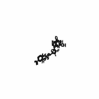 C=C(C)[C@@H]1CC[C@]2(C)S[P@@](=S)(OC[C@H]3O[C@@H](n4cnc5c(=O)[nH]c(O)nc54)[C@H](F)[C@@H]3C)O[C@H]2C1